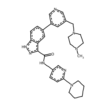 CN1CCN(Cc2cncc(-c3ccc4[nH]nc(C(=O)Nc5ccc(N6CCCCC6)nc5)c4c3)c2)CC1